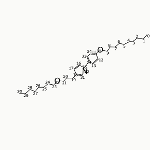 CCCCCCCCCCOc1ccc(-c2ccc(CCCOCCCCCCCC)cn2)cc1